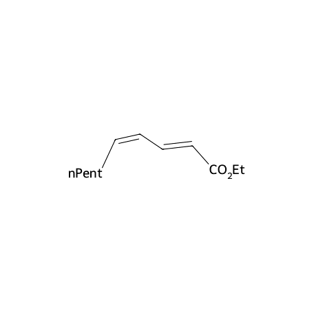 CCCCC/C=C\C=C\C(=O)OCC